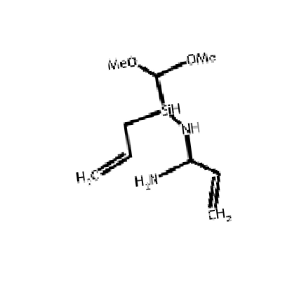 C=CC[SiH](NC(N)C=C)C(OC)OC